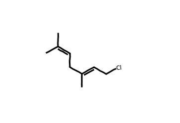 CC(C)=CCC(C)=CCCl